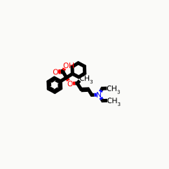 CCN(CC)CC=CC(C)OC(C(=O)O)(c1ccccc1)C1CCCCC1